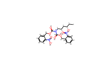 CCCCCCN(C(=O)OCc1ccccc1[N+](=O)[O-])C(=O)OCc1ccccc1[N+](=O)[O-]